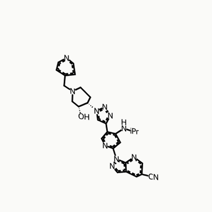 CC(C)Nc1cc(-n2ncc3cc(C#N)cnc32)ncc1-c1cn([C@H]2CCN(Cc3ccncc3)C[C@H]2O)nn1